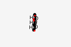 O=C(NCc1ccccc1)c1cccc(OBOc2cccc(C(=O)NCc3ccccc3)c2)c1